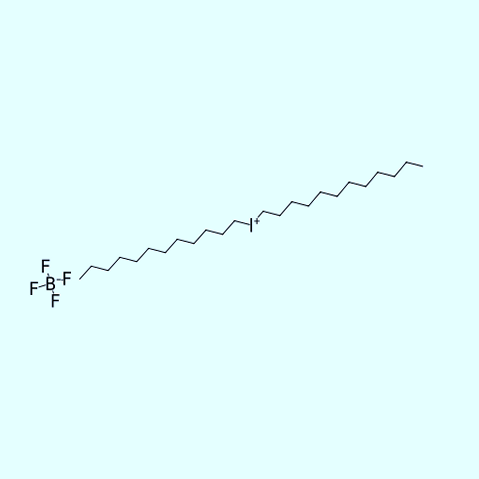 CCCCCCCCCCCC[I+]CCCCCCCCCCCC.F[B-](F)(F)F